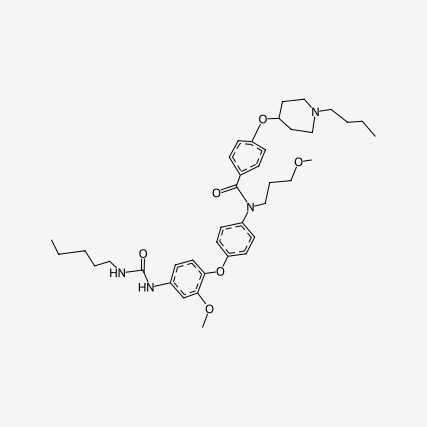 CCCCCNC(=O)Nc1ccc(Oc2ccc(N(CCCOC)C(=O)c3ccc(OC4CCN(CCCC)CC4)cc3)cc2)c(OC)c1